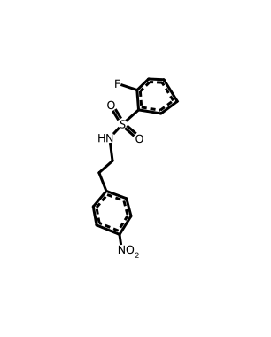 O=[N+]([O-])c1ccc(CCNS(=O)(=O)c2ccccc2F)cc1